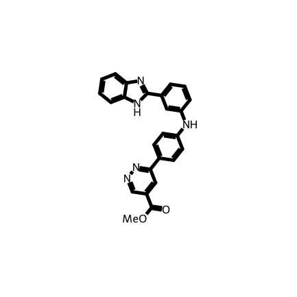 COC(=O)c1cnnc(-c2ccc(Nc3cccc(-c4nc5ccccc5[nH]4)c3)cc2)c1